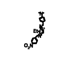 CCc1n(N=Cc2ccc([N+](=O)[O-])cc2)cc[n+]1N=Cc1ccc(N(C)C)cc1